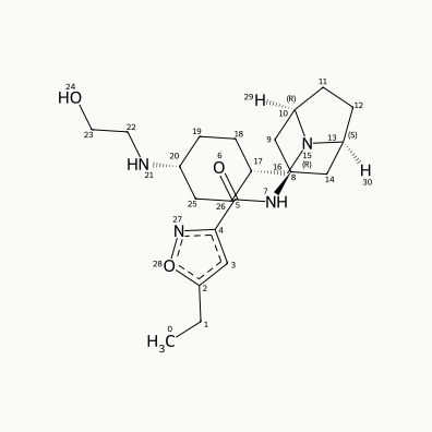 CCc1cc(C(=O)N[C@H]2C[C@H]3CC[C@@H](C2)N3C[C@H]2CC[C@@H](NCCO)CC2)no1